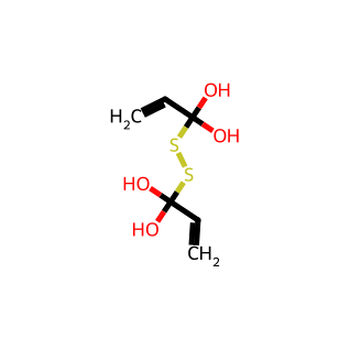 C=CC(O)(O)SSC(O)(O)C=C